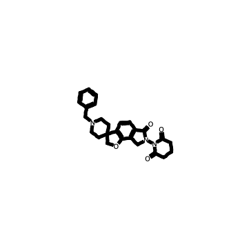 O=C1c2ccc3c(c2CN1N1C(=O)CCCC1=O)OCC31CCN(Cc2ccccc2)CC1